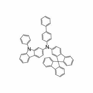 c1ccc(-c2ccc(N(c3ccc4c(c3)C3(c5ccccc5-c5ccccc53)c3ccccc3-4)c3ccc4c5ccccc5n(-c5ccccc5)c4c3)cc2)cc1